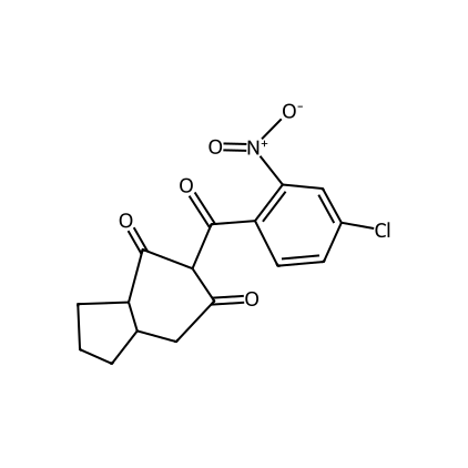 O=C1CC2CCCC2C(=O)C1C(=O)c1ccc(Cl)cc1[N+](=O)[O-]